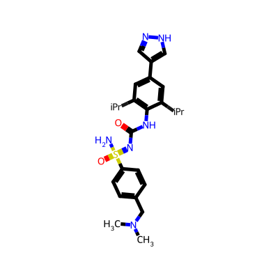 CC(C)c1cc(-c2cn[nH]c2)cc(C(C)C)c1NC(=O)N=S(N)(=O)c1ccc(CN(C)C)cc1